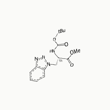 COC(=O)[C@H](Cn1nnc2ccccc21)NC(=O)OC(C)(C)C